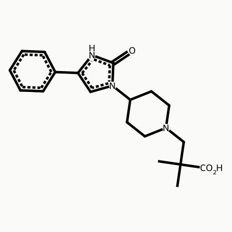 CC(C)(CN1CCC(n2cc(-c3ccccc3)[nH]c2=O)CC1)C(=O)O